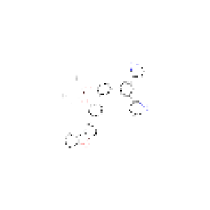 CC1(C)Oc2cc(-c3ccc4oc5ccccc5c4c3)ccc2-c2cc(-c3cc(-c4cccnc4)cc(-c4cccnc4)c3)ccc2O1